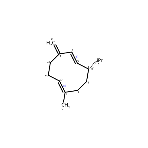 C=C1/C=C/[C@H](C(C)C)CC/C(C)=C/CC1